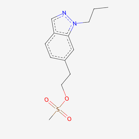 CCCn1ncc2ccc(CCOS(C)(=O)=O)cc21